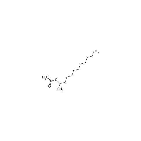 CCCCCCCCCCC(C)OC(C)=O